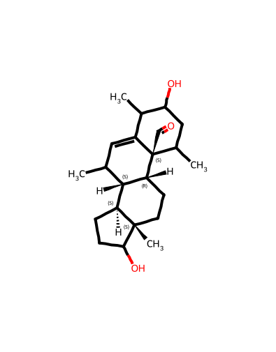 CC1C2=CC(C)[C@@H]3[C@@H](CC[C@]4(C)C(O)CC[C@@H]34)[C@@]2(C=O)C(C)CC1O